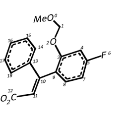 COCOc1cc(F)ccc1C(=CC(=O)O)c1ccccc1